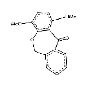 COc1ccc(OC)c2c1OCc1ccccc1C2=O